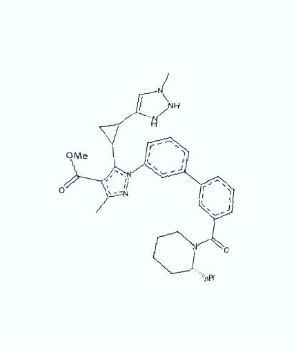 CCC[C@@H]1CCCCN1C(=O)c1cccc(-c2cccc(-n3nc(C)c(C(=O)OC)c3C3CC3C3=CN(C)NN3)c2)c1